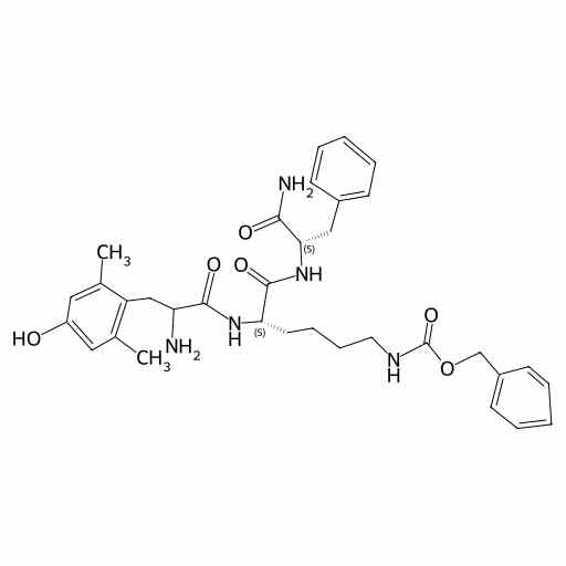 Cc1cc(O)cc(C)c1CC(N)C(=O)N[C@@H](CCCCNC(=O)OCc1ccccc1)C(=O)N[C@@H](Cc1ccccc1)C(N)=O